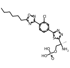 CCCCCCc1nc(-c2ccc(-c3nnc([C@@](C)(N)COP(=O)(O)O)s3)cc2Cl)no1